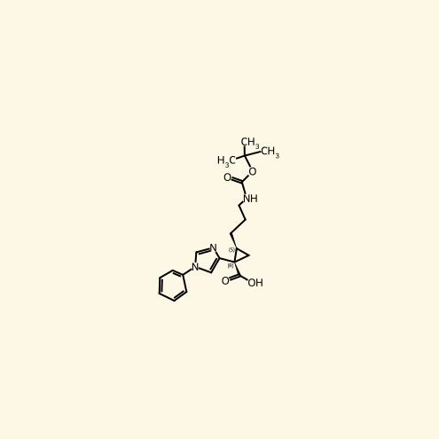 CC(C)(C)OC(=O)NCCC[C@H]1C[C@]1(C(=O)O)c1cn(-c2ccccc2)cn1